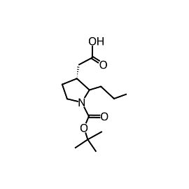 CCCC1[C@@H](CC(=O)O)CCN1C(=O)OC(C)(C)C